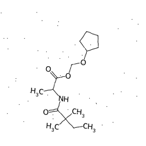 CCC(C)(C)C(=O)NC(C)C(=O)OCOC1CCCC1